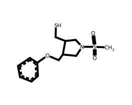 CS(=O)(=O)N1CC(CS)C(COc2ccccc2)C1